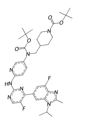 Cc1nc2c(F)cc(-c3nc(Nc4ccc(N(CC5CCN(C(=O)OC(C)(C)C)CC5)C(=O)OC(C)(C)C)cn4)ncc3F)cc2n1C(C)C